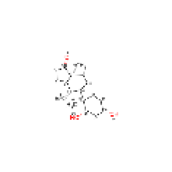 CC(=O)OC1C2CCC(=O)[C@@]2(C)CCC1[C@@]1(C)CC[C@H](O)C[C@@H]1O